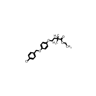 CCOC(=O)C(C)(C)CCOc1ccc(OCc2ccc(Cl)cc2)cc1